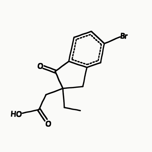 CCC1(CC(=O)O)Cc2cc(Br)ccc2C1=O